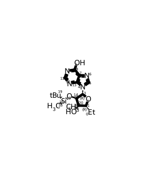 CC[C@H]1O[C@@H](n2cnc3c(O)ncnc32)[C@H](O[Si](C)(C)C(C)(C)C)[C@@H]1O